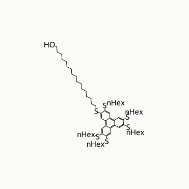 CCCCCCSc1cc2c3cc(SCCCCCC)c(SCCCCCC)cc3c3cc(SCCCCCCCCCCCCCCCCCO)c(SCCCCCC)cc3c2cc1SCCCCCC